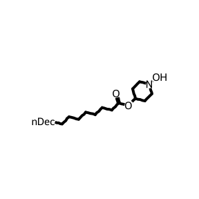 CCCCCCCCCCCCCCCCCC(=O)OC1CCN(O)CC1